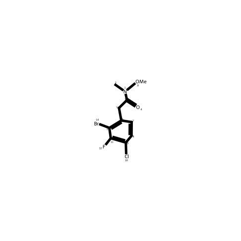 CON(C)C(=O)Cc1ccc(Cl)c(F)c1Br